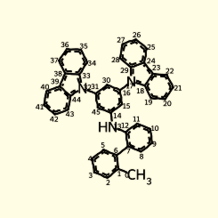 Cc1ccccc1-c1ccccc1Nc1cc(-n2c3ccccc3c3ccccc32)cc(-n2c3ccccc3c3ccccc32)c1